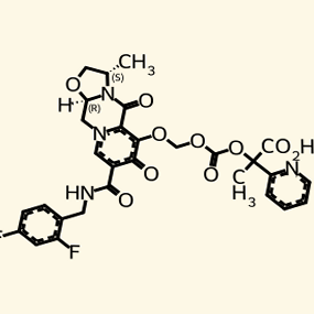 C[C@H]1CO[C@@H]2Cn3cc(C(=O)NCc4ccc(F)cc4F)c(=O)c(OCOC(=O)OC(C)(C(=O)O)c4ccccn4)c3C(=O)N12